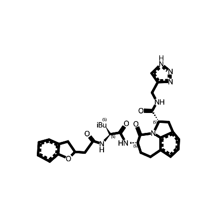 CC[C@H](C)[C@H](NC(=O)CC1Cc2ccccc2O1)C(=O)N[C@H]1CCc2cccc3c2N(C1=O)[C@H](C(=O)NCc1c[nH]nn1)C3